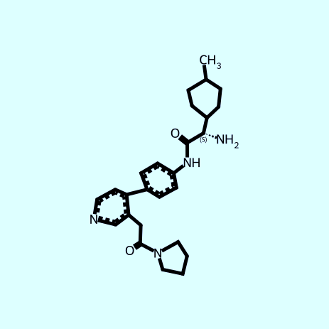 CC1CCC([C@H](N)C(=O)Nc2ccc(-c3ccncc3CC(=O)N3CCCC3)cc2)CC1